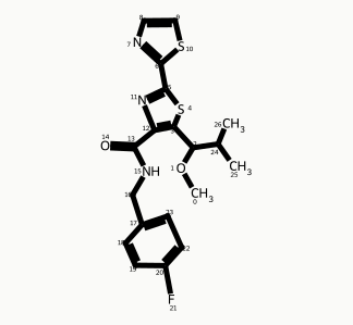 COC(c1sc(-c2nccs2)nc1C(=O)NCc1ccc(F)cc1)C(C)C